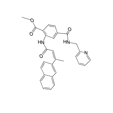 COC(=O)c1ccc(C(=O)NCc2ccccn2)cc1NC(=O)/C=C(/C)c1ccc2ccccc2c1